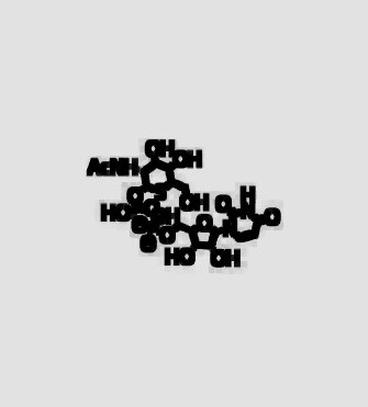 CC(=O)N[C@@H]1C(O)C(O)C(CO)S[C@H]1OP(=O)(O)OP(=O)(O)OC[C@H]1O[C@@H](n2ccc(=O)[nH]c2=O)[C@H](O)[C@@H]1O